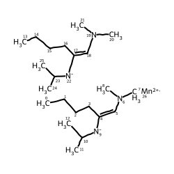 CCCC/C(=C\N(C)C)[N-]C(C)C.CCCC/C(=C\N(C)C)[N-]C(C)C.[Mn+2]